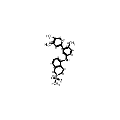 Cc1cnc(-c2cc(Nc3cccc4c3CCN(S(C)(=O)=O)C4)ccc2C)cc1C